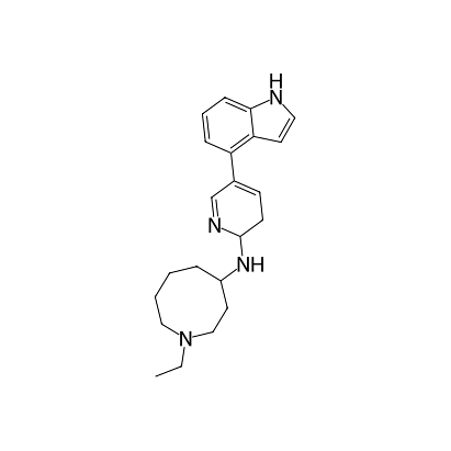 CCN1CCCCC(NC2CC=C(c3cccc4[nH]ccc34)C=N2)CC1